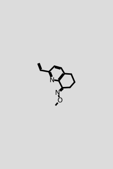 C=Cc1ccc2c(n1)/C(=N/OC)CCC2